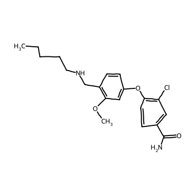 CCCCCNCc1ccc(Oc2ccc(C(N)=O)cc2Cl)cc1OC